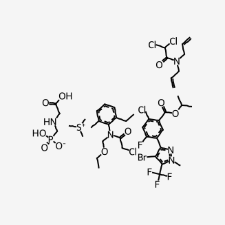 C=CCN(CC=C)C(=O)C(Cl)Cl.CC(C)OC(=O)c1cc(-c2nn(C)c(C(F)(F)F)c2Br)c(F)cc1Cl.CCOCN(C(=O)CCl)c1c(C)cccc1CC.C[S+](C)C.O=C(O)CNCP(=O)([O-])O